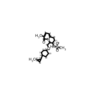 Cc1ccc2n(c1=O)C(COC1CCC(C3C[C@@H]3C)CC1)C(NS(C)(=O)=O)CC2